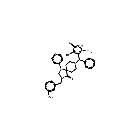 COc1cccc(CN2CN(c3ccccc3)C3(CCN(C(c4ccccc4)c4c(Br)c(=O)[nH]n4C)CC3)C2=O)c1